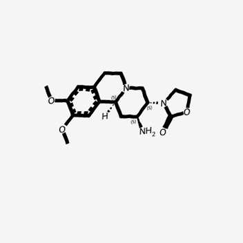 COc1cc2c(cc1OC)[C@@H]1C[C@H](N)[C@@H](N3CCOC3=O)CN1CC2